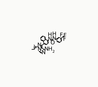 CC[C@@H](C)c1nc(-c2ccc(NC(=O)Nc3cccc(C(F)(F)F)c3)c3ccccc23)c2c(N)nccn12